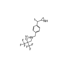 OC(CNCc1ccc(C(I)C2CN2)cc1)(C(F)(F)F)C(F)(F)F